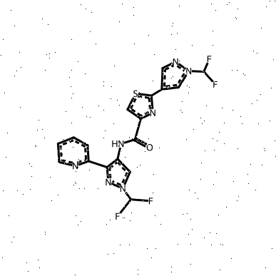 O=C(Nc1cn(C(F)F)nc1-c1ccccn1)c1csc(-c2cnn(C(F)F)c2)n1